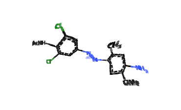 COc1cc(/N=N/c2cc(Cl)c(NC(C)=O)c(Cl)c2)c(C)cc1N